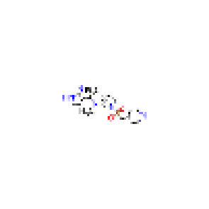 C[C@@H]1CCN(S(=O)(=O)Cc2ccncc2)CC1N(C)c1ccnc2[nH]ccc12